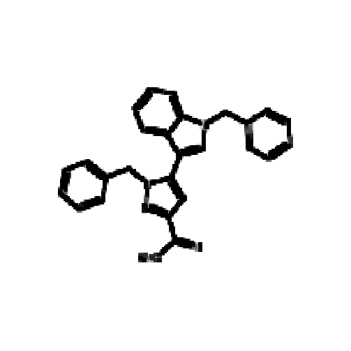 COC(=O)c1cc(-c2cn(Cc3ccccc3)c3ccccc23)n(Cc2ccccc2)n1